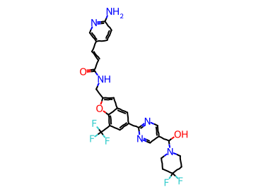 Nc1ccc(/C=C/C(=O)NCc2cc3cc(-c4ncc(C(O)N5CCC(F)(F)CC5)cn4)cc(C(F)(F)F)c3o2)cn1